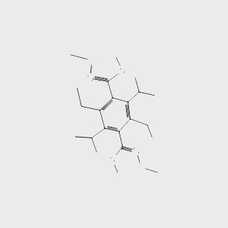 CCc1c(/C(=N/OC)NC)c(C(C)C)c(CC)c(/C(=N/OC)NC)c1C(C)C